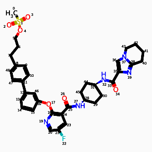 CS(=O)(=O)OCCCc1ccc(-c2cccc(Oc3ncc(F)cc3C(=O)N[C@H]3CC[C@H](NC(=O)c4cn5c(n4)CCCC5)CC3)c2)cc1